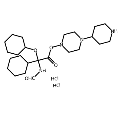 Cl.Cl.O=CNC(OC1CCCCC1)(C(=O)ON1CCN(C2CCNCC2)CC1)C1CCCCC1